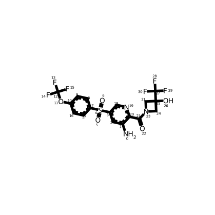 Nc1cc(S(=O)(=O)c2ccc(OC(F)(F)F)cc2)cnc1C(=O)N1CC(O)(C(F)(F)F)C1